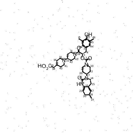 Cc1cc(C[C@@H](OC(=O)N2CCC(N3CCC4=CC(C)CC=C4NC3=O)CC2)C(=O)N2CCC(N3CCC(CC(=O)O)CC3)CC2)cc(C)c1O